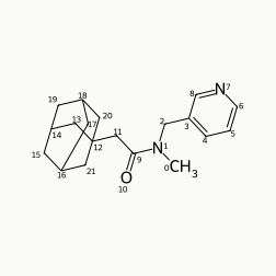 CN(Cc1cccnc1)C(=O)CC12CC3CC(CC(C3)C1)C2